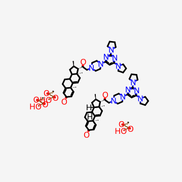 CS(=O)(=O)O.CS(=O)(=O)O.CS(=O)(=O)O.C[C@@H]1CC2C3CCC4=CC(=O)C=C[C@]4(C)C3=CC[C@]2(C)[C@H]1C(=O)CN1CCN(c2cc(N3CCCC3)nc(N3CCCC3)n2)CC1.C[C@@H]1C[C@H]2[C@@H]3CCC4=CC(=O)C=C[C@]4(C)C3=CC[C@]2(C)[C@H]1C(=O)CN1CCN(c2cc(N3CCCC3)nc(N3CCCC3)n2)CC1